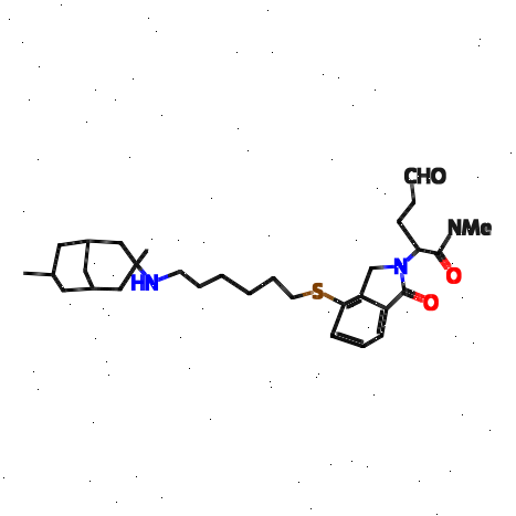 CNC(=O)C(CCC=O)N1Cc2c(SCCCCCCNC3(C)CC4CC(C)CC(C4)C3)cccc2C1=O